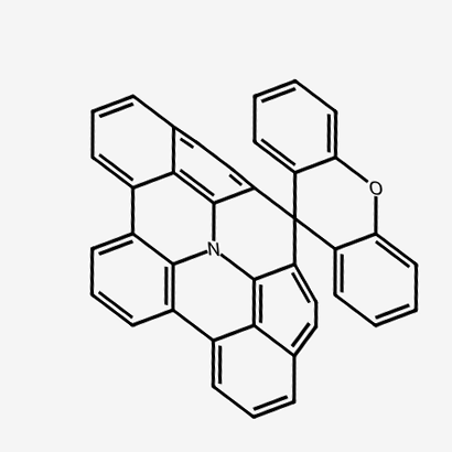 c1ccc2c(c1)Oc1ccccc1C21c2ccc3cccc4c3c2N2c3c-4cccc3-c3cccc4ccc1c2c34